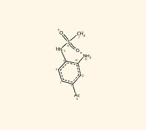 CC(=O)c1ccc(NS(C)(=O)=O)c(N)c1